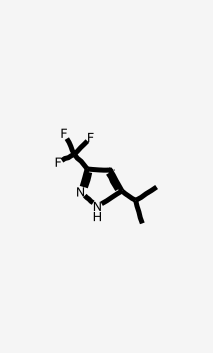 CC(C)c1[c]c(C(F)(F)F)n[nH]1